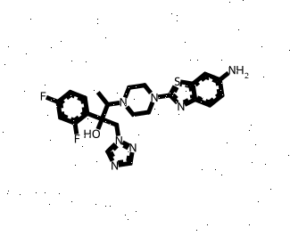 CC(N1CCN(c2nc3ccc(N)cc3s2)CC1)C(O)(Cn1cncn1)c1ccc(F)cc1F